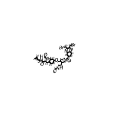 O=CNCCC(CCOc1ccc(CC(NC=O)C(=O)NSC2CC2)cc1)CNC(=O)c1ccc2nc(CBr)c(CBr)nc2c1